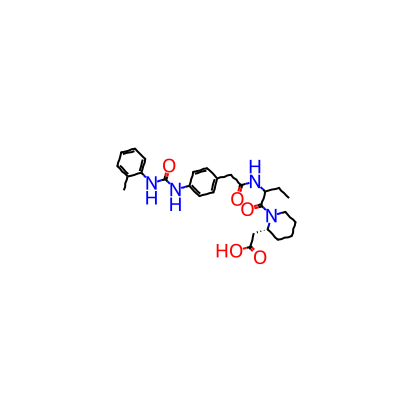 CCC(NC(=O)Cc1ccc(NC(=O)Nc2ccccc2C)cc1)C(=O)N1CCCC[C@@H]1CC(=O)O